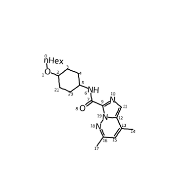 CCCCCCOC1CCC(NC(=O)c2ncc3c(C)cc(C)nn23)CC1